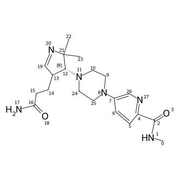 CNC(=O)c1ccc(N2CCN([C@@H]3C(CCC(N)=O)C=NC3(C)C)CC2)cn1